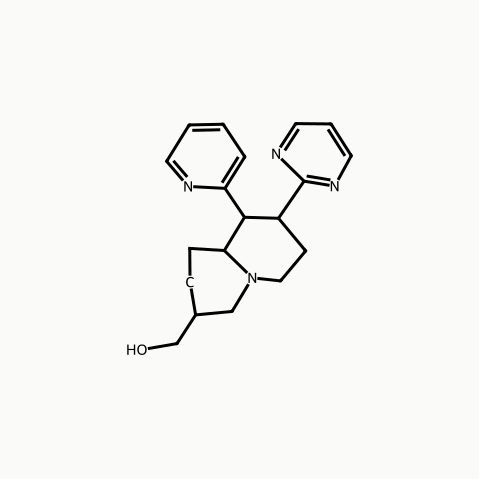 OCC1CCC2C(c3ccccn3)C(c3ncccn3)CCN2C1